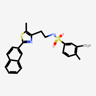 Cc1ccc(S(=O)(=O)NCCc2nc(-c3ccc4ccccc4c3)sc2C)cc1C(=O)O